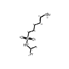 CC(C)C(C)NS(=O)(=O)CCCCCC(C)(C)C